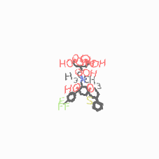 CN(C)CC1CC2(CCC1(O)c1ccc(C(F)(F)F)cc1)OCCc1c2sc2ccccc12.O=C(O)CC(O)(CC(=O)O)C(=O)O